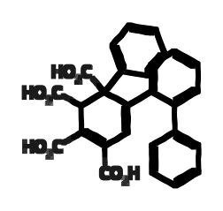 O=C(O)C1=C(C(=O)O)C(C(=O)O)C(C(=O)O)(c2ccccc2)C(c2ccccc2-c2ccccc2)=C1